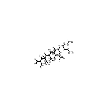 C=C(C)C1C(=O)C2(C)C(C)C3C(=O)C4=C(C)C(CC(CCCC)CCCC)CC(C(C)C)=C4CC3(C)CC2(C)CC1C